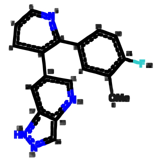 COc1cc(-c2ncccc2-c2cnc3cn[nH]c3c2)ccc1F